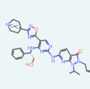 C=CCn1c(=O)c2ccc(Nc3ncc(-c4nc(C56CCN(CC5)CC6)no4)c(N[C@H](CO)c4ccccc4)n3)nc2n1C(C)C